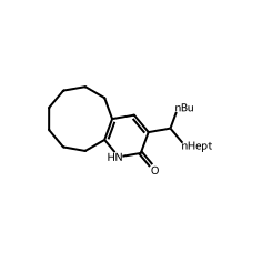 CCCCCCCC(CCCC)c1cc2c([nH]c1=O)CCCCCCC2